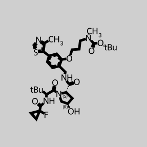 Cc1ncsc1-c1ccc(CNC(=O)[C@@H]2C[C@@H](O)CN2C(=O)C(NC(=O)C2(F)CC2)C(C)(C)C)c(OCCCN(C)C(=O)OC(C)(C)C)c1